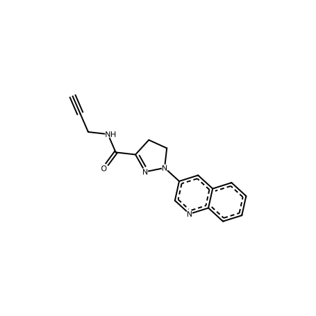 C#CCNC(=O)C1=NN(c2cnc3ccccc3c2)CC1